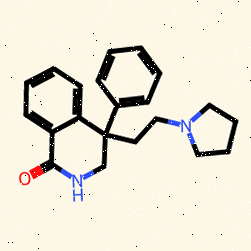 O=C1NCC(CCN2CCCC2)(c2ccccc2)c2ccccc21